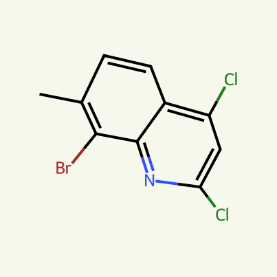 Cc1ccc2c(Cl)cc(Cl)nc2c1Br